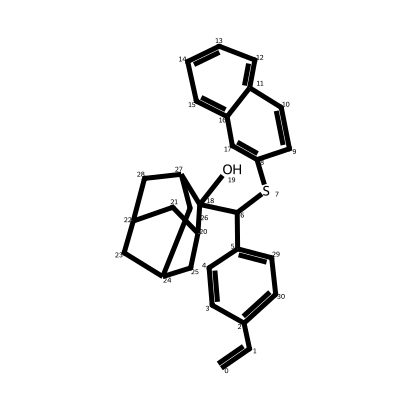 C=Cc1ccc(C(Sc2ccc3ccccc3c2)C2(O)C3CC4CC(C3)CC2C4)cc1